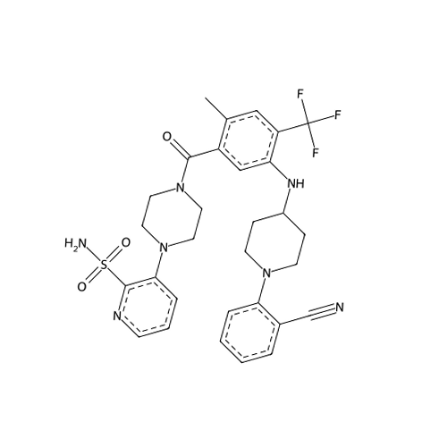 Cc1cc(C(F)(F)F)c(NC2CCN(c3ccccc3C#N)CC2)cc1C(=O)N1CCN(c2cccnc2S(N)(=O)=O)CC1